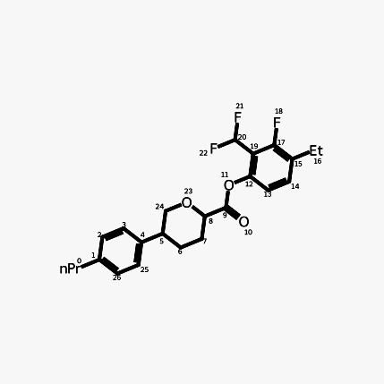 CCCc1ccc(C2CCC(C(=O)Oc3ccc(CC)c(F)c3C(F)F)OC2)cc1